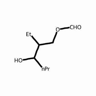 CCCC(O)C(CC)COC=O